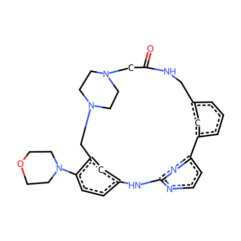 O=C1CN2CCN(CC2)Cc2cc(ccc2N2CCOCC2)Nc2nccc(n2)-c2cccc(c2)CN1